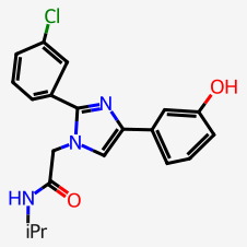 CC(C)NC(=O)Cn1cc(-c2cccc(O)c2)nc1-c1cccc(Cl)c1